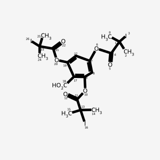 CC(C)(I)C(=O)Oc1cc(OC(=O)C(C)(C)I)c(C(=O)O)c(OC(=O)C(C)(C)I)c1